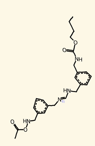 CCCCOC(=O)NCc1cccc(CN/C=N/Cc2cccc(CNOC(C)=O)c2)c1